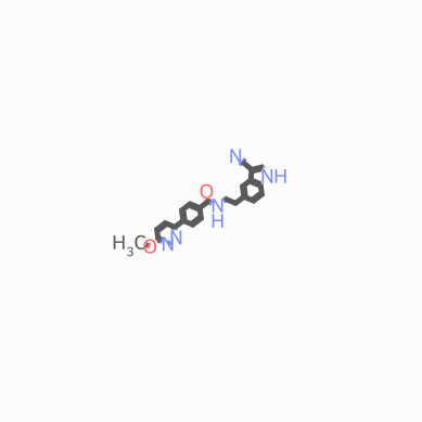 COc1ccc(-c2ccc(C(=O)NCCc3ccc4[nH]cc(C#N)c4c3)cc2)nn1